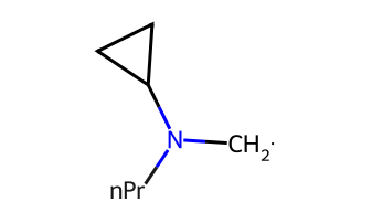 [CH2]N(CCC)C1CC1